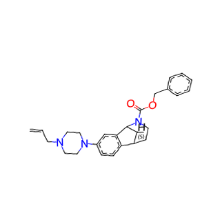 C=CCN1CCN(c2ccc3c(c2)C2[C@@H](C)C3CCN2C(=O)OCc2ccccc2)CC1